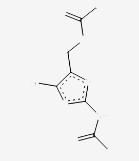 CC(=O)Nc1nc(COC(C)=O)c(Br)s1